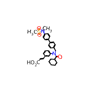 CN(c1ccc(-c2ccc(CN(C(=O)C3CCCCC3)c3cccc(C=CC(=O)O)c3)cc2)cc1)S(C)(=O)=O